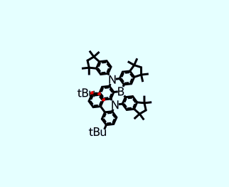 CC(C)(C)c1ccc(N2c3cc4c(cc3B3c5cc6c(cc5N(c5ccc7c(c5)C(C)(C)CC7(C)C)c5cc(C(C)(C)C)cc2c53)C(C)(C)CC6(C)C)C(C)(C)CC4(C)C)c(-c2ccccc2)c1